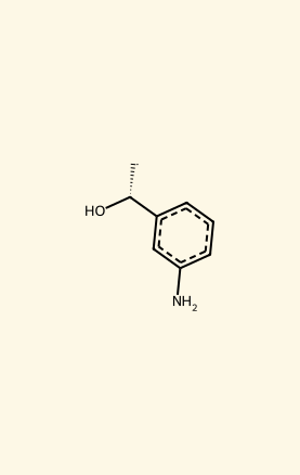 [CH2][C@@H](O)c1cccc(N)c1